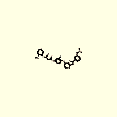 COc1ccccc1NC(=O)CC(=O)Nc1ccc(Oc2ccnc3c2SC(c2cccc(CN(C)C)c2)C3)c(F)c1